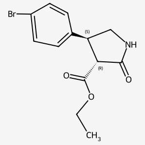 CCOC(=O)[C@H]1C(=O)NC[C@@H]1c1ccc(Br)cc1